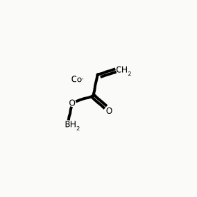 BOC(=O)C=C.[Co]